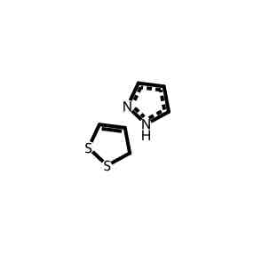 C1=CSSC1.c1cn[nH]c1